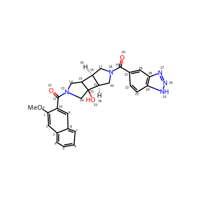 COc1cc2ccccc2cc1C(=O)N1CC2[C@H]3CN(C(=O)c4ccc5[nH]nnc5c4)C[C@H]3C2(O)C1